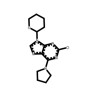 Clc1nc(N2CCCC2)c2ncn(C3CCCCO3)c2n1